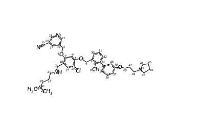 Cc1c(COc2cc(OCc3cncc(C#N)c3)c(CNCCCN(C)C)cc2Cl)cccc1-c1cccc(OCCCN2CCCC2)c1